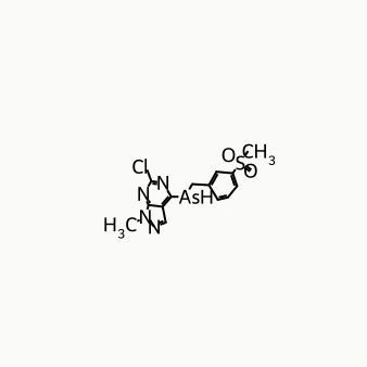 Cn1ncc2c([AsH]Cc3cccc(S(C)(=O)=O)c3)nc(Cl)nc21